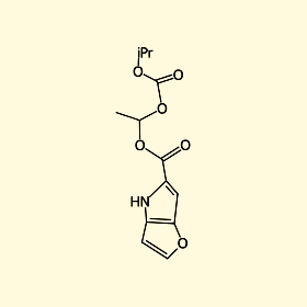 CC(C)OC(=O)OC(C)OC(=O)c1cc2occc2[nH]1